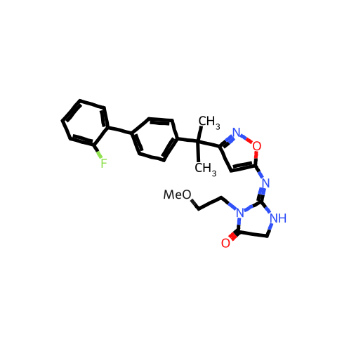 COCCN1C(=O)CNC1=Nc1cc(C(C)(C)c2ccc(-c3ccccc3F)cc2)no1